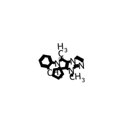 Cc1ccccc1N1[C@@H](C)c2c(n(C)c3nccn23)C12CCCC2